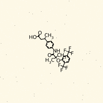 CC(CC(=O)O)c1ccc(NC(=O)C(C)(C)Oc2cc(C(F)(F)F)ccc2C(F)(F)F)cc1